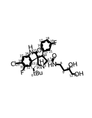 CC(C)(C)C[C@H]1N[C@@H](C(=O)NCC[C@H](O)CO)[C@H](c2cccc(F)c2)[C@@]12C(=O)Nc1cc(Cl)c(F)cc12